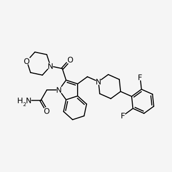 NC(=O)Cn1c(C(=O)N2CCOCC2)c(CN2CCC(c3c(F)cccc3F)CC2)c2c1=CCCC=2